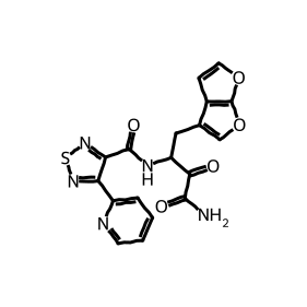 NC(=O)C(=O)C(Cc1coc2occc12)NC(=O)c1nsnc1-c1ccccn1